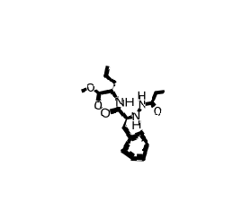 CCC[C@H](NC(=O)[C@H](Cc1ccccc1)NNC(=O)CC)C(=O)OC